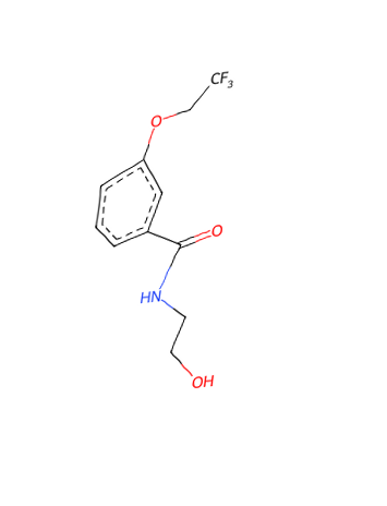 O=C(NCCO)c1cccc(OCC(F)(F)F)c1